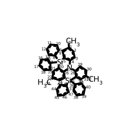 Cc1ccc2c(c1)[Si](c1ccccc1)(c1ccccc1)c1cc(C)cc3c1N2c1ccc(C)cc1[Si]3(c1ccccc1)c1ccccc1